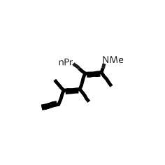 C=C/C(C)=C(C)/C(CCC)=C(\C)NC